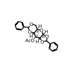 CC(=O)O[C@@H]1[C@H]2OC(c3ccccc3)O[C@H]2O[C@@H]2COC(c3ccccc3)O[C@@H]12